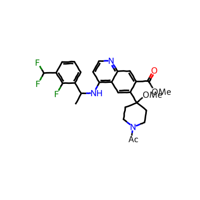 COC(=O)c1cc2nccc(NC(C)c3cccc(C(F)F)c3F)c2cc1C1(OC)CCN(C(C)=O)CC1